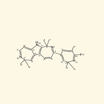 CC1=CC(C2=NC(C)(C)c3[nH]c4c(c3C=C2)=CC(C)(C)N=CC=4)=CC(C)(C)N=C1F